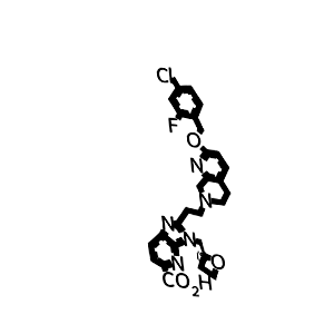 O=C(O)c1ccc2nc(CCN3CCc4ccc(OCc5ccc(Cl)cc5F)nc4C3)n(C[C@@H]3CCO3)c2n1